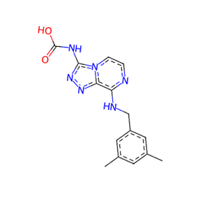 Cc1cc(C)cc(CNc2nccn3c(NC(=O)O)nnc23)c1